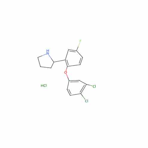 Cl.Fc1ccc(Oc2ccc(Cl)c(Cl)c2)c(C2CCCN2)c1